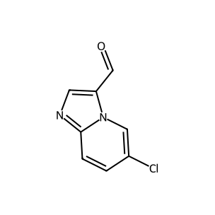 O=Cc1cnc2ccc(Cl)cn12